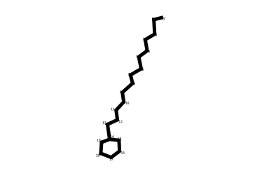 [CH2]CCCCCCCCCCCC[CH]C1CCCCC1